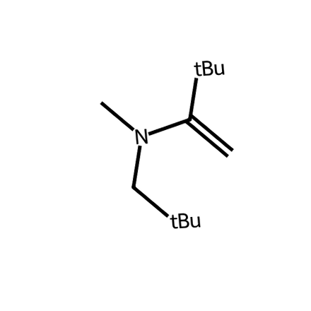 C=C(N(C)CC(C)(C)C)C(C)(C)C